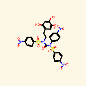 O=C(N(CCc1cc(O)c(O)cc1O)S(=O)(=O)c1ccc([N+](=O)[O-])cc1)N(c1ccc([N+](=O)[O-])cc1)S(=O)(=O)c1ccc([N+](=O)[O-])cc1